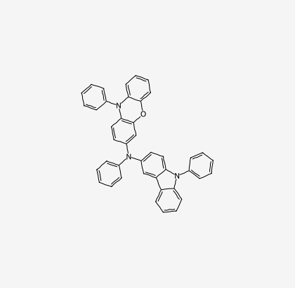 c1ccc(N(c2ccc3c(c2)Oc2ccccc2N3c2ccccc2)c2ccc3c(c2)c2ccccc2n3-c2ccccc2)cc1